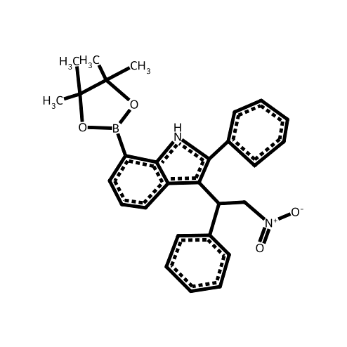 CC1(C)OB(c2cccc3c(C(C[N+](=O)[O-])c4ccccc4)c(-c4ccccc4)[nH]c23)OC1(C)C